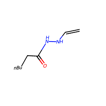 C=CNNC(=O)CCCCC